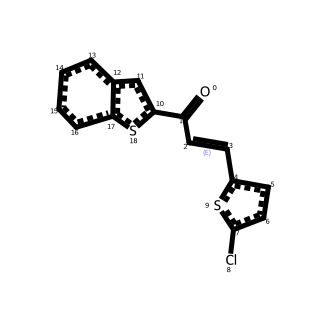 O=C(/C=C/c1ccc(Cl)s1)c1cc2ccccc2s1